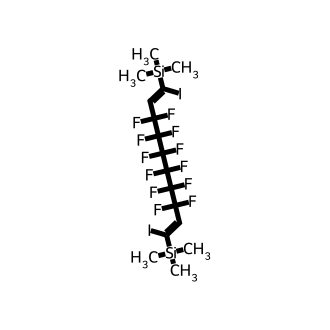 C[Si](C)(C)C(I)=CC(F)(F)C(F)(F)C(F)(F)C(F)(F)C(F)(F)C(F)(F)C=C(I)[Si](C)(C)C